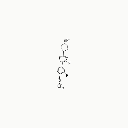 CCCC1CCC(c2ccc(-c3ccc(C#CC(F)(F)F)c(F)c3)c(F)c2)CC1